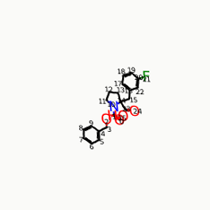 O=C(OCc1ccccc1)N1CCCC1(Cc1cccc(F)c1)C(=O)O